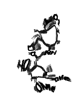 COc1cc(O)c(C(=O)Nc2ccc([N+](=O)[O-])cc2Cl)cc1OC